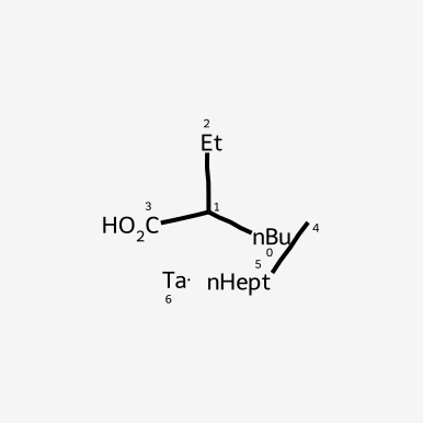 CCCCC(CC)C(=O)O.CCCCCCCC.[Ta]